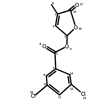 CC1=CC(OC(=O)c2cc(Cl)cc(Cl)c2)OC1=O